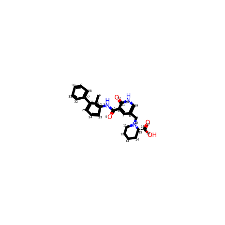 Cc1c(NC(=O)c2cc(CN3CCCC[C@H]3C(=O)O)c[nH]c2=O)cccc1-c1ccccc1